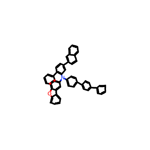 c1ccc(-c2ccc(-c3ccc(N(c4ccc5oc6ccccc6c5c4)c4cc(-c5ccc6ccccc6c5)ccc4-c4ccccc4)cc3)cc2)cc1